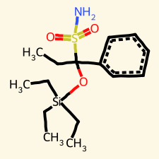 CCC(O[Si](CC)(CC)CC)(c1ccccc1)S(N)(=O)=O